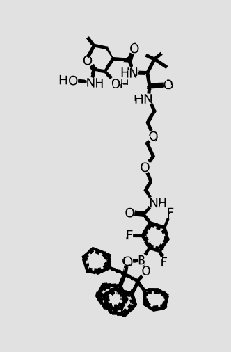 CC(C)C[C@@H](C(=O)NC(C(=O)NCCOCCOCCNC(=O)c1c(F)cc(F)c(B2OC(c3ccccc3)(c3ccccc3)C(c3ccccc3)(c3ccccc3)O2)c1F)C(C)(C)C)C(O)C(=O)NO